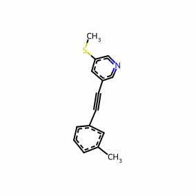 CSc1cncc(C#Cc2cccc(C)c2)c1